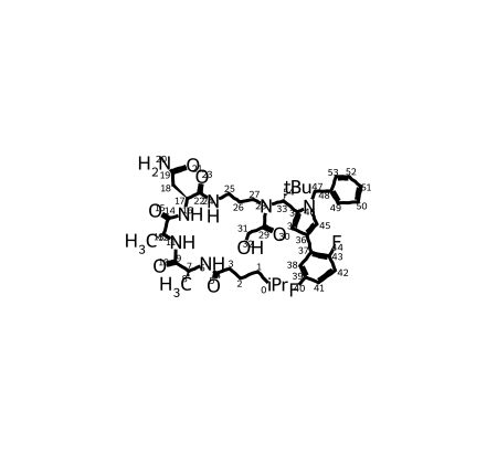 CC(C)CCCC(=O)N[C@@H](C)C(=O)N[C@H](C)C(=O)N[C@@H](CC(N)=O)C(=O)NCCCN(C(=O)CO)[C@@H](c1cc(-c2cc(F)ccc2F)cn1Cc1ccccc1)C(C)(C)C